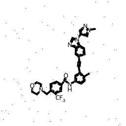 Cc1ccc(NC(=O)c2ccc(CN3CCOCC3)c(C(F)(F)F)c2)cc1C#Cc1ccc2c(c1)ncn2-c1cnn(C)c1